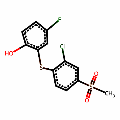 CS(=O)(=O)c1ccc(Sc2cc(F)ccc2O)c(Cl)c1